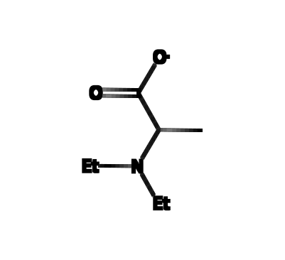 CCN(CC)C(C)C([O])=O